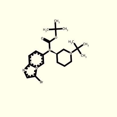 CC(C)(C)OC(=O)N(c1ccc2ncc(Br)n2c1)[C@@H]1CCCN(C(C)(C)C)C1